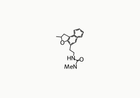 CNC(=O)NCCc1cc2ccccc2c2c1OC(C)C2